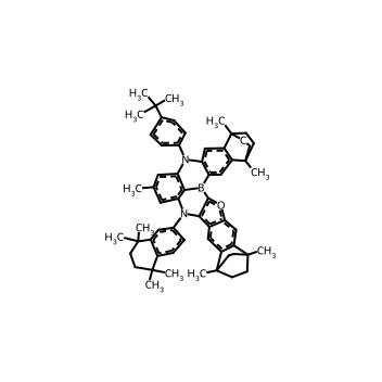 Cc1cc2c3c(c1)N(c1ccc4c(c1)C(C)(C)CCC4(C)C)c1c(oc4cc5c(cc14)C1(C)CCC5(C)CC1)B3c1cc3c(cc1N2c1ccc(C(C)(C)C)cc1)C1(C)CCC3(C)CC1